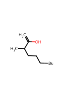 C=C(O)C(C)CCCC(C)CC